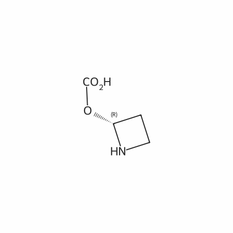 O=C(O)O[C@@H]1CCN1